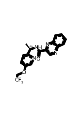 C[C@@H](NC(=O)c1cnc2ccccc2n1)c1ccc(OCC(F)(F)F)cn1